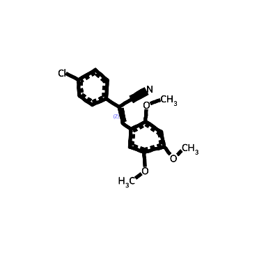 COc1cc(OC)c(OC)cc1/C=C(\C#N)c1ccc(Cl)cc1